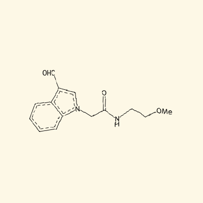 COCCNC(=O)Cn1cc(C=O)c2ccccc21